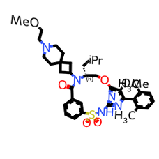 COCCN1CCC2(CC1)CC(N1C(=O)c3cccc(c3)S(=O)(=O)Nc3nc(c(OC)c(-c4c(C)cccc4C)n3)OC[C@H]1CC(C)C)C2